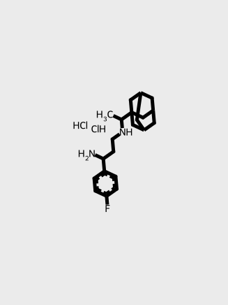 CC(NCCC(N)c1ccc(F)cc1)C12CC3CC(CC(C3)C1)C2.Cl.Cl